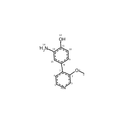 COc1cnccc1-c1ccc(O)c(N)c1